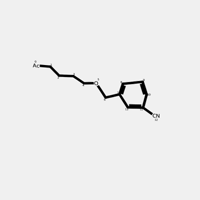 CC(=O)CCCCOCc1cccc(C#N)c1